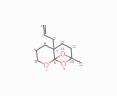 C=CCC12CCCOC13OC(C)(CC2)O3